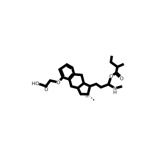 CCC(C)C(=O)OC(CCC1C2Cc3cccc(OCC(=O)O)c3CC2C[C@H]1C)NC